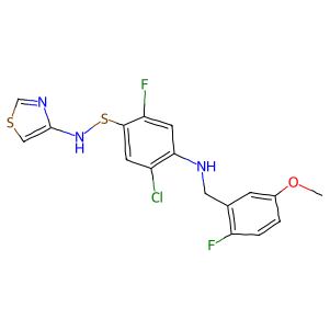 COc1ccc(F)c(CNc2cc(F)c(SNc3cscn3)cc2Cl)c1